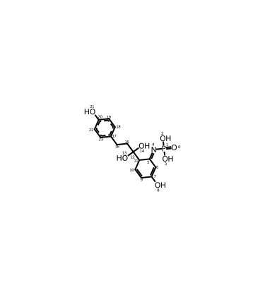 O=P(O)(O)N=C1C=C(O)C=CC1C(O)(O)CCc1ccc(O)cc1